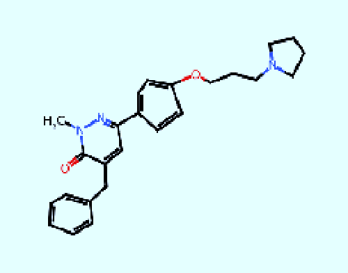 Cn1nc(-c2ccc(OCCCN3CCCC3)cc2)cc(Cc2ccccc2)c1=O